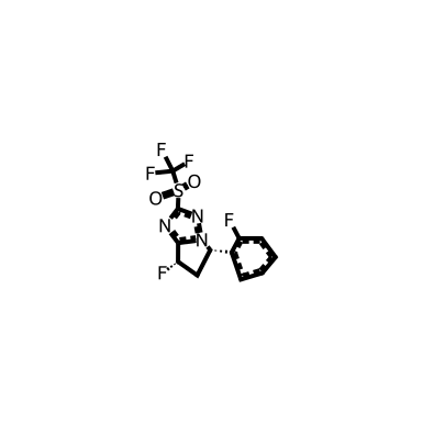 O=S(=O)(c1nc2n(n1)[C@H](c1ccccc1F)C[C@@H]2F)C(F)(F)F